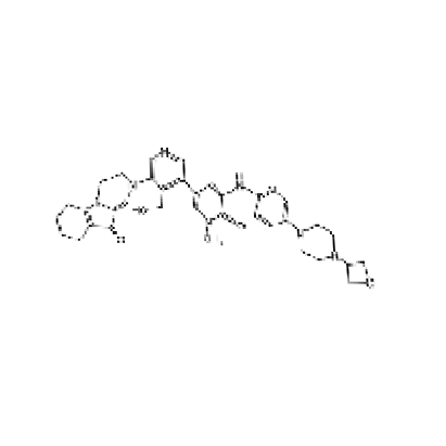 Cn1cc(-c2cncc(N3C=C4C(=O)C5=C(CCCC5)N4CC3)c2CO)cc(Nc2ccc(N3CCN(C4COC4)CC3)cn2)c1=O